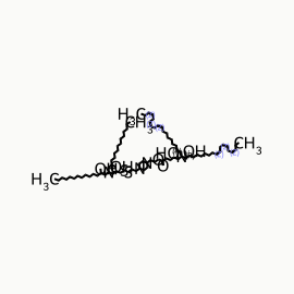 CC/C=C\C/C=C\C/C=C\CCCCCC[C@@H](O)CN(CCCCC(=O)OCCN1CCN(CCSSCCCN(CC(O)CCCCCCCCCCCC)CC(O)CCCCCCCCCCCC)CC1)C[C@H](O)CCCCCC/C=C\C/C=C\C/C=C\CC